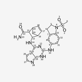 CS(=O)(=O)N1CCc2cc(Nc3nc(NC4C5C=CC(C5)C4C(N)=O)c4ccnc-4[nH]3)ccc21